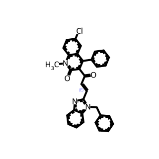 Cn1c(=O)c(C(=O)/C=C/c2nc3ccccc3n2Cc2ccccc2)c(-c2ccccc2)c2cc(Cl)ccc21